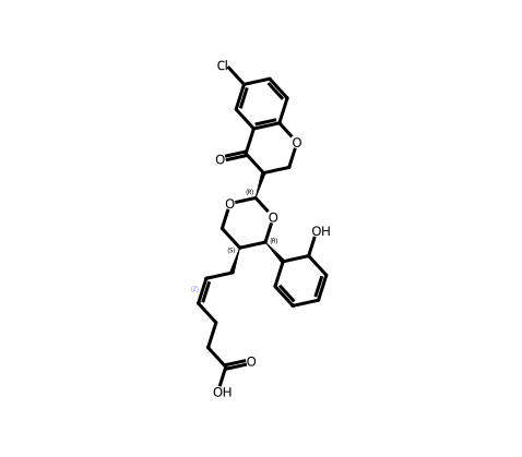 O=C(O)CC/C=C\C[C@H]1CO[C@@H](C2COc3ccc(Cl)cc3C2=O)O[C@H]1C1C=CC=CC1O